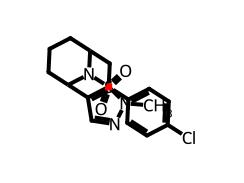 Cn1ncc2c1CC1CCCC2N1S(=O)(=O)c1ccc(Cl)cc1